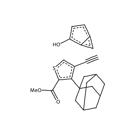 C#Cc1csc(C(=O)OC)c1C12CC3CC(CC(C3)C1)C2.Oc1ccc2cc1-2